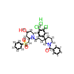 Cl.O=C(c1ccccc1)N1CCCC(CCCN2CCC(O)CC2CS(=O)(=O)c2ccccc2)(c2ccc(Cl)c(Cl)c2)C1